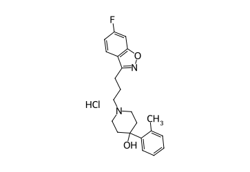 Cc1ccccc1C1(O)CCN(CCCc2noc3cc(F)ccc23)CC1.Cl